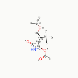 CC(=O)O[C@H]1NC(=O)[C@@H]1[C@@H](CO[SiH](C)C)C(C)(C)C